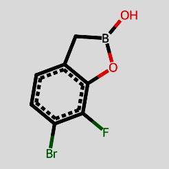 OB1Cc2ccc(Br)c(F)c2O1